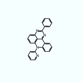 c1ccc(-c2nc3c4c(cccc4n2)N(c2ccccn2)c2ccccc2-3)cc1